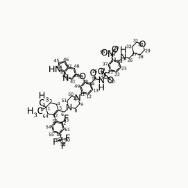 CC1(C)CCC(CN2CCN(c3ccc(C(=O)NS(=O)(=O)c4ccc(NCC5CCOCC5)c([N+](=O)[O-])c4)c(Oc4cnc5[nH]ccc5c4)c3)CC2)=C(c2ccc(C(F)(F)F)cc2F)C1